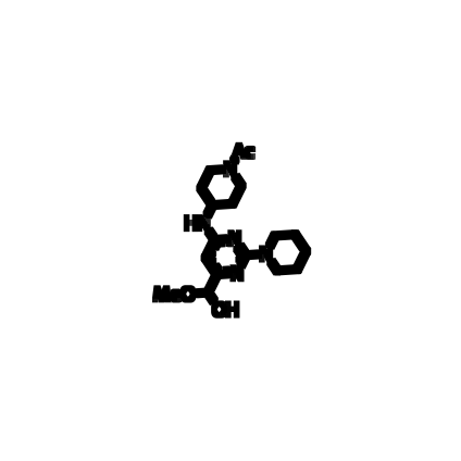 COC(O)c1cc(NC2CCN(C(C)=O)CC2)nc(N2CCCCC2)n1